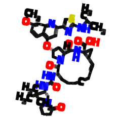 COc1ccc2c(O[C@@H]3C[C@H]4C(=O)N[C@]5(C(=O)O)CC5/C=C\CCCCC[C@H](NC(=O)N[C@H](CN5CCCC5=O)C(C)(C)C)C(=O)N4C3)cc(-c3csc(NC(C)C)n3)nc2c1